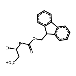 CC[C@H](CC(=O)O)NC(=O)OCC1c2ccccc2-c2ccccc21